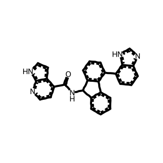 O=C(NC1c2ccccc2-c2c(-c3cccc4nc[nH]c34)cccc21)c1ccnc2[nH]ccc12